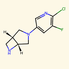 Fc1cc(N2C[C@H]3CN[C@H]3C2)cnc1Cl